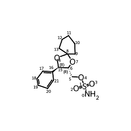 NS(=O)(=O)OC[C@H]1OC2(CCCCC2)O[C@@H]1c1ccccc1